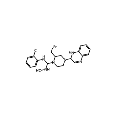 CC(C)CC1CN(C2C=Nc3ccccc3N2)CCN1C(NC#N)Nc1ccccc1Cl